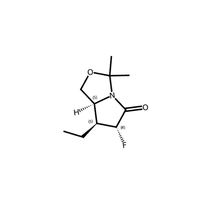 CC[C@H]1[C@H]2COC(C)(C)N2C(=O)[C@@H]1F